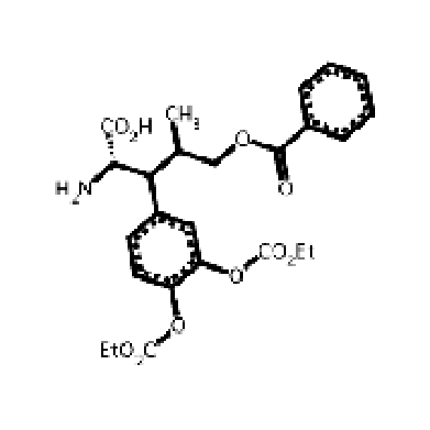 CCOC(=O)Oc1ccc(C(C(C)COC(=O)c2ccccc2)[C@H](N)C(=O)O)cc1OC(=O)OCC